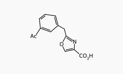 CC(=O)c1cccc(Cc2nc(C(=O)O)co2)c1